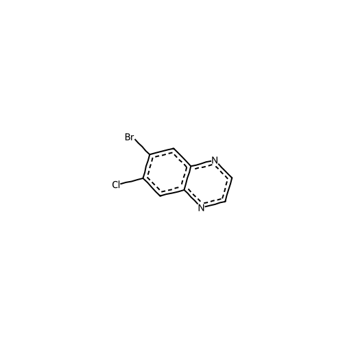 Clc1cc2nccnc2cc1Br